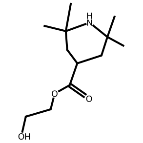 CC1(C)CC(C(=O)OCCO)CC(C)(C)N1